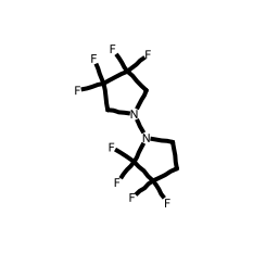 FC1(F)CN(N2CCC(F)(F)C2(F)F)CC1(F)F